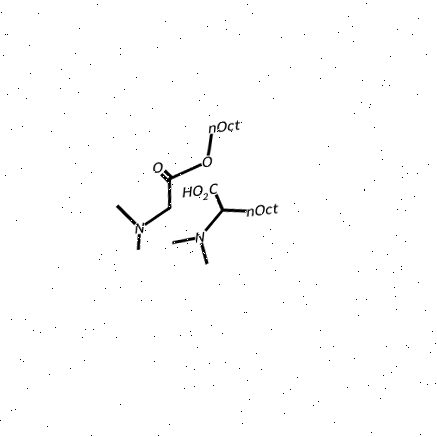 CCCCCCCCC(C(=O)O)N(C)C.CCCCCCCCOC(=O)CN(C)C